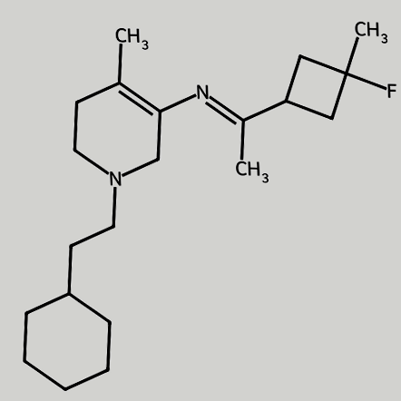 CC1=C(/N=C(\C)C2CC(C)(F)C2)CN(CCC2CCCCC2)CC1